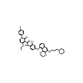 CCOc1ccn(-c2ccc(F)cc2)c(=O)c1C(=O)Nc1ccc(Oc2ccnc3cc(OCCCN4CCCCC4)c4c(c23)OCCO4)cc1Cl